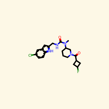 CN(C(=O)NCc1cc2cc(Cl)ccc2[nH]1)C1CCCN(C(=O)C2CC(F)C2)C1